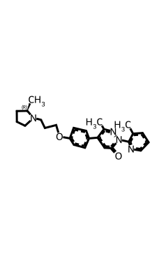 Cc1cccnc1-n1nc(C)c(-c2ccc(OCCCN3CCC[C@H]3C)cc2)cc1=O